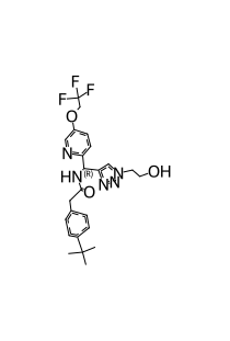 CC(C)(C)c1ccc(CC(=O)N[C@H](c2ccc(OCC(F)(F)F)cn2)c2cn(CCO)nn2)cc1